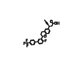 CC#C[C@@H](CC(=O)O)c1ccc2c(c1)CCC(c1cc(-c3ccc(C(F)(F)F)cc3)ccc1F)O2